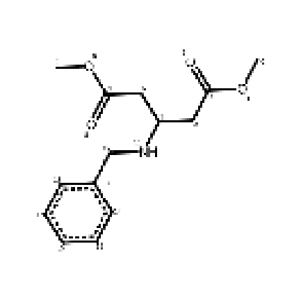 COC(=O)CC(CC(=O)OC)NCc1ccccc1